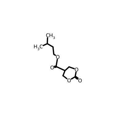 CC(C)CCOC(=O)C1COC(=O)OC1